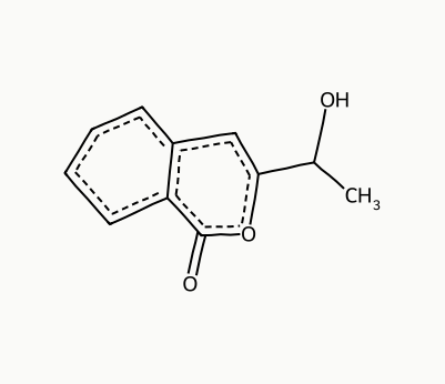 CC(O)c1cc2ccccc2c(=O)o1